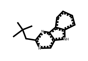 CC(C)(C)Cc1ncc2[nH]c3ccccc3c2n1